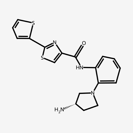 N[C@H]1CCN(c2ccccc2NC(=O)c2csc(-c3cccs3)n2)C1